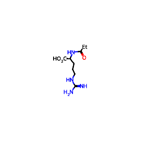 CCC(=O)N[C@@H](CCCNC(=N)N)C(=O)O